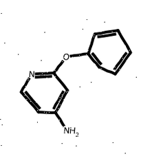 Nc1ccnc(Oc2ccccc2)c1